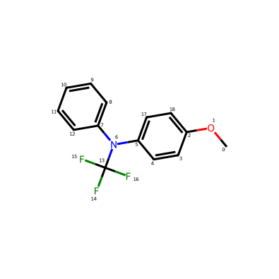 COc1ccc(N(c2ccccc2)C(F)(F)F)cc1